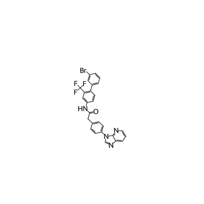 O=C(Cc1ccc(-n2cnc3cccnc32)cc1)Nc1ccc(-c2cccc(Br)c2)c(C(F)(F)F)c1